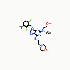 CCCCN(CCO)c1nc(NCCN2CCOCC2)c2ncn(Cc3c(F)ccc(Cl)c3F)c2n1